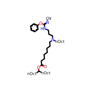 CCCCCCCCC(CCCCCCCC)OC(=O)CCCCCCCN(CCCCCCCC)CCCN/C(=N/C#N)Oc1ccccc1